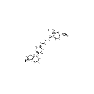 Cc1ccc(OCCCCN2CCN(c3cccc4[nH]ccc34)CC2)c(C)c1